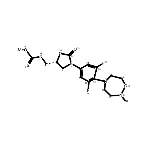 COC(=S)NC[C@H]1CN(c2cc(F)c(N3CCON(C)CC3)c(F)c2)C(=O)O1